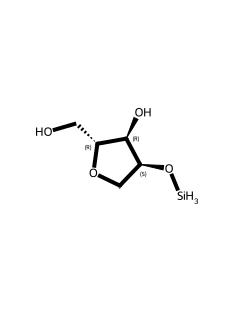 OC[C@H]1O[CH][C@H](O[SiH3])[C@@H]1O